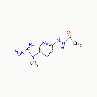 CC(=O)NNc1ccc2c(n1)nc(N)n2C